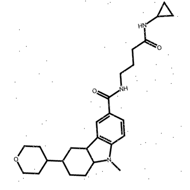 CN1c2ccc(C(=O)NCCCC(=O)NC3CC3)cc2C2CC(C3CCOCC3)CCC21